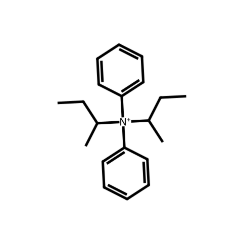 CCC(C)[N+](c1ccccc1)(c1ccccc1)C(C)CC